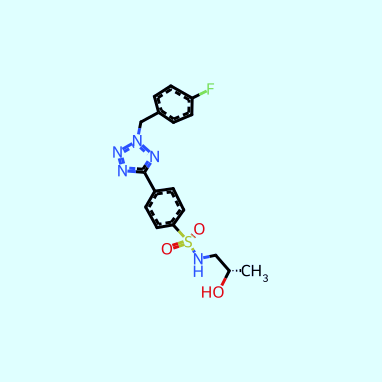 C[C@H](O)CNS(=O)(=O)c1ccc(-c2nnn(Cc3ccc(F)cc3)n2)cc1